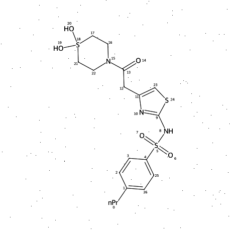 CCCc1ccc(S(=O)(=O)Nc2nc(CC(=O)N3CCS(O)(O)CC3)cs2)cc1